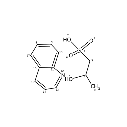 CC(O)CS(=O)(=O)O.c1ccc2ncccc2c1